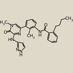 CCCCc1ccccc1C(=O)Nc1cccc(-c2cn(C)c(=O)c(Nc3cc[nH]n3)n2)c1C